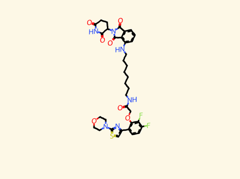 O=C(COc1c(-c2csc(N3CCOCC3)n2)ccc(F)c1F)NCCCCCCCCNc1cccc2c1C(=O)N(C1CCC(=O)NC1=O)C2=O